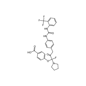 O=C(Nc1ccc(CC(=O)C(F)(Oc2ccc(C(=O)O)cc2)N2CCCC2)cc1)Nc1ccccc1C(F)(F)F